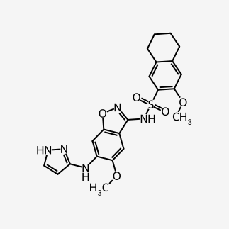 COc1cc2c(NS(=O)(=O)c3cc4c(cc3OC)CCCC4)noc2cc1Nc1cc[nH]n1